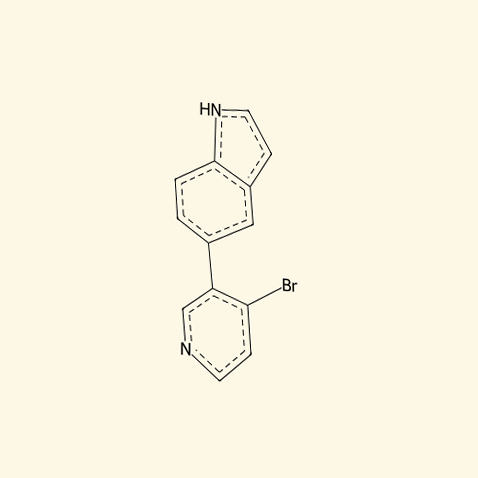 Brc1ccncc1-c1ccc2[nH]ccc2c1